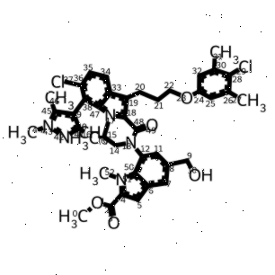 COC(=O)c1cc2cc(CO)cc(N3C[C@@H](C)n4c(c(CCCOc5cc(C)c(Cl)c(C)c5)c5ccc(Cl)c(-c6c(C)nn(C)c6C)c54)C3=O)c2n1C